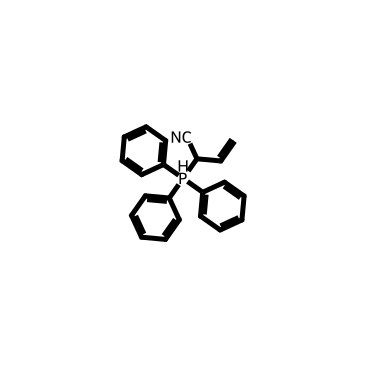 C=CC(C#N)[PH](c1ccccc1)(c1ccccc1)c1ccccc1